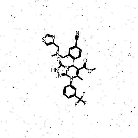 COC(=O)C1=C(C)N(c2cccc(C(F)(F)F)c2)c2n[nH]c(=O)n2[C@@H]1c1ccc(C#N)cc1CN(C)Cc1cscn1